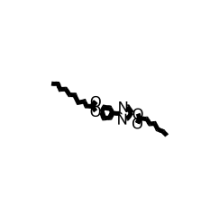 CCCCCCCCCC(=O)Oc1ccc(-c2ncc(OC(=O)CCCCCC)cn2)cc1